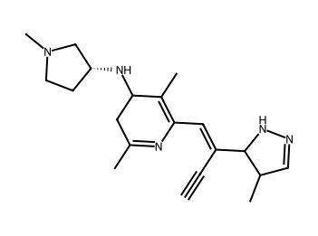 C#C/C(=C\C1=C(C)C(N[C@@H]2CCN(C)C2)CC(C)=N1)C1NN=CC1C